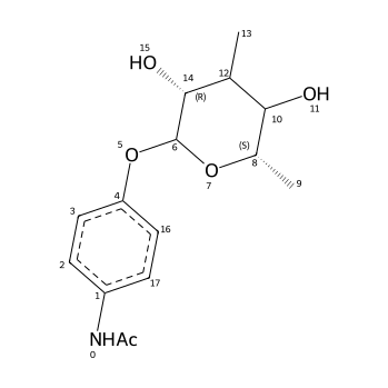 CC(=O)Nc1ccc(OC2O[C@@H](C)C(O)C(C)[C@H]2O)cc1